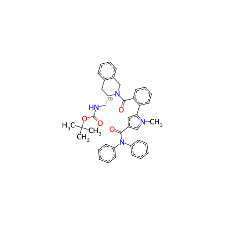 Cn1cc(C(=O)N(c2ccccc2)c2ccccc2)cc1-c1ccccc1C(=O)N1Cc2ccccc2C[C@H]1CNC(=O)OC(C)(C)C